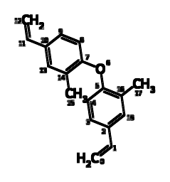 C=Cc1ccc(Oc2ccc(C=C)cc2C)c(C)c1